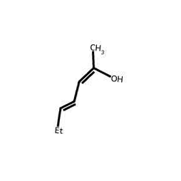 CCC=CC=C(C)O